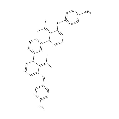 CC(C)=C1C(Oc2ccc(N)cc2)=CC=CC1c1cccc(C2C=CC=C(Oc3ccc(N)cc3)C2=C(C)C)c1